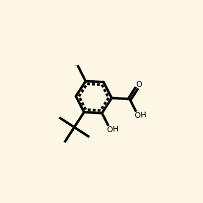 [CH2]c1cc(C(=O)O)c(O)c(C(C)(C)C)c1